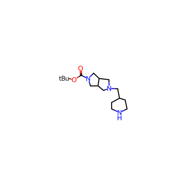 CC(C)(C)OC(=O)N1CC2CN(CC3CCNCC3)CC2C1